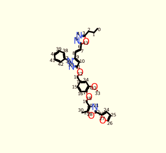 CCCc1nnc(C=Cc2cc(OCc3ccc(OCc4nc(-c5ccco5)oc4C)c(OC)c3)nn2-c2ccccc2)o1